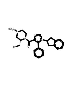 CC(C)C[C@@H]1CN(C(=O)O)CCN1C(=O)c1ncn(C2Cc3ccccc3C2)c1-c1ccccc1